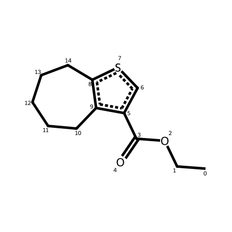 CCOC(=O)c1csc2c1CCCCC2